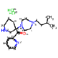 CC(C)CCN1CCN(C2(C(=O)c3ccccn3)CCCNC2)CC1.Cl.Cl